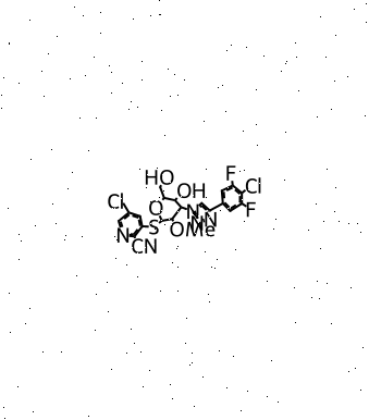 COC1C(Sc2cc(Cl)cnc2C#N)OC(CO)C(O)C1n1cc(-c2cc(F)c(Cl)c(F)c2)nn1